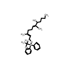 CCCCC(O)/C(C)=C/CC/C(C)=C/CO[Si](c1ccccc1)(c1ccccc1)C(C)(C)C